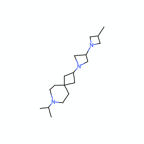 CC1CN(C2CN(C3CC4(CCN(C(C)C)CC4)C3)C2)C1